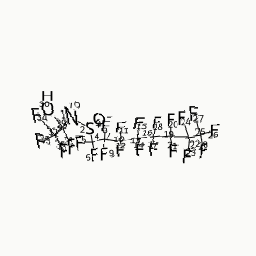 CN([S+]([O-])C(F)(F)C(F)(F)C(F)(F)C(F)(F)C(F)(F)C(F)(F)C(F)(F)C(F)(F)F)C(O)(F)C(F)(F)F